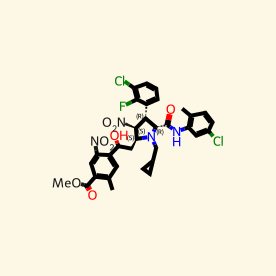 COC(=O)c1cc([N+](=O)[O-])c(C(O)C[C@H]2[C@@H]([N+](=O)[O-])[C@H](c3cccc(Cl)c3F)[C@H](C(=O)Nc3cc(Cl)ccc3C)N2CC2CC2)cc1C